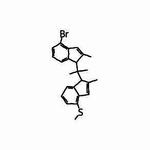 CSc1cccc2c1C=C(C)C2C(C)(C)C1C(C)=Cc2c(Br)cccc21